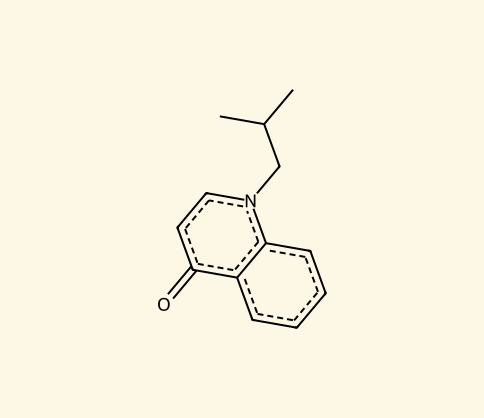 CC(C)Cn1ccc(=O)c2ccccc21